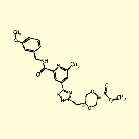 COC(=O)[C@@H]1CO[C@@H](Cn2nnc(-c3cc(C)nc(C(=O)NCc4cccc(OC)c4)c3)n2)CO1